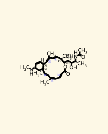 CN[C@H]1C=C[C@@H]2/C=C(C)/C=C/[C@@H](C)[C@H]([C@H](C)[C@H](O)[C@@H](C)NC(C)=O)OC(=O)/C=C/C=C(C)\C=C\[C@]2(C)C1